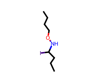 CCCCONC(I)CCC